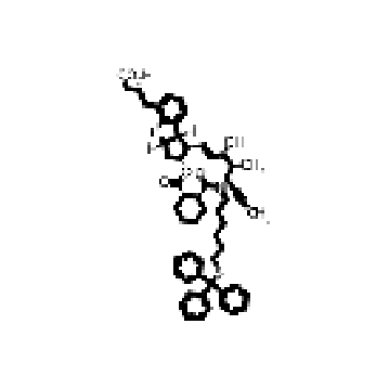 CC#CC[C@H](C)[C@H](O)/C=C/[C@@H]1[C@H]2c3cccc(CCCC(=O)O)c3O[C@H]2C[C@H]1OC(=O)[C@@H]1CCCC[C@@H]1C(=O)NCCCCCCSC(c1ccccc1)(c1ccccc1)c1ccccc1